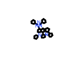 c1ccc(-c2nc(-c3ccccc3)nc(-c3ccc4c5c(cccc35)-c3c(cccc3-n3c5ccccc5c5ccccc53)N4c3ccccc3)n2)cc1